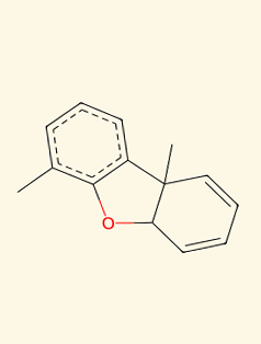 Cc1cccc2c1OC1C=CC=CC21C